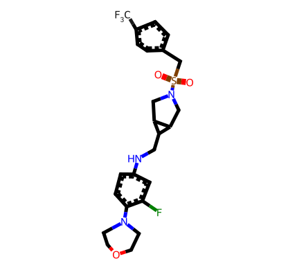 O=S(=O)(Cc1ccc(C(F)(F)F)cc1)N1CC2C(CNc3ccc(N4CCOCC4)c(F)c3)C2C1